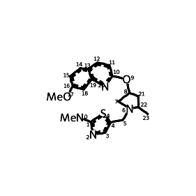 CNc1ncc(CN2CC(Oc3ccc4ccc(OC)cc4n3)CC2C)s1